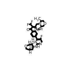 CC(C)n1c(CN2[C@@H](C)COC[C@@H]2C)c(C(F)F)c(=O)c2ccc(-c3nc(N[C@@H]4C[C@H]5CO[C@H](O5)[C@H]4O)ncc3F)cc21